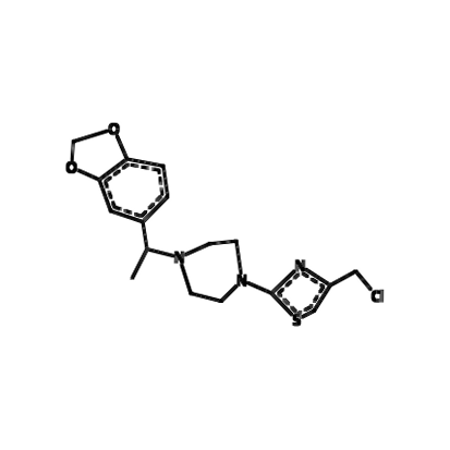 CC(c1ccc2c(c1)OCO2)N1CCN(c2nc(CCl)cs2)CC1